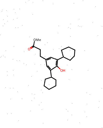 COC(=O)CCc1cc(C2CCCCC2)c(O)c(C2CCCCC2)c1